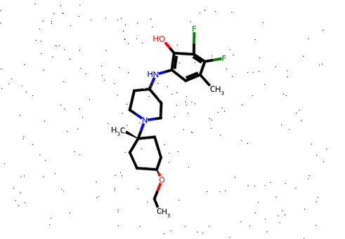 CCO[C@H]1CC[C@](C)(N2CCC(Nc3cc(C)c(F)c(F)c3O)CC2)CC1